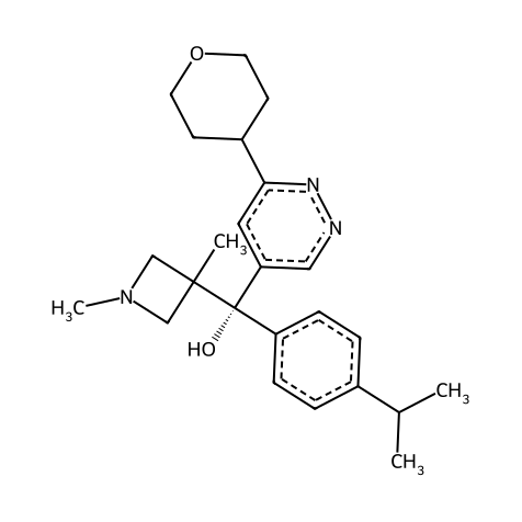 CC(C)c1ccc([C@](O)(c2cnnc(C3CCOCC3)c2)C2(C)CN(C)C2)cc1